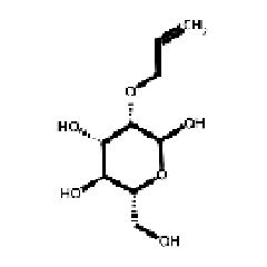 C=CCO[C@@H]1C(O)O[C@H](CO)[C@@H](O)[C@@H]1O